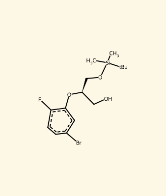 CC(C)(C)[Si](C)(C)OC[C@@H](CO)Oc1cc(Br)ccc1F